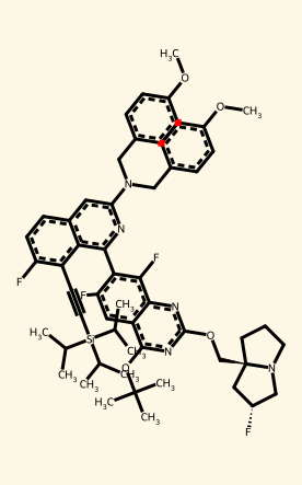 COc1ccc(CN(Cc2ccc(OC)cc2)c2cc3ccc(F)c(C#C[Si](C(C)C)(C(C)C)C(C)C)c3c(-c3c(F)cc4c(OC(C)(C)C)nc(OC[C@@]56CCCN5C[C@H](F)C6)nc4c3F)n2)cc1